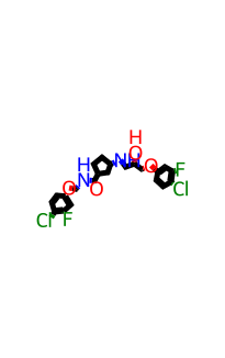 O=C(NCOc1ccc(Cl)c(F)c1)C1CCC(NCC(O)COc2ccc(Cl)c(F)c2)C1